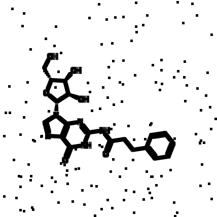 O=C(CCc1ccccc1)Nc1nc2c(ncn2[C@@H]2O[C@H](CO)[C@@H](O)[C@H]2O)c(=O)[nH]1